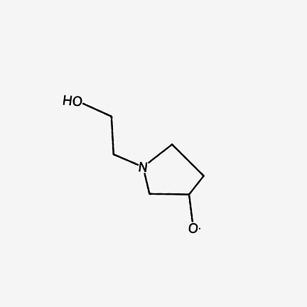 [O]C1CCN(CCO)C1